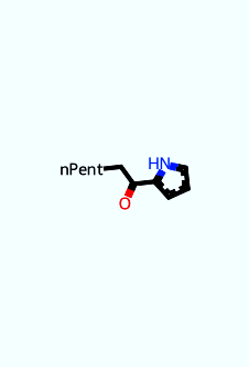 CCCCCCC(=O)c1ccc[nH]1